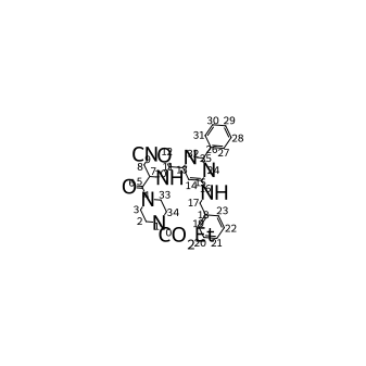 CCOC(=O)N1CCN(C(=O)C(CC#N)NC(=O)c2cc(NCc3ccccc3)nc(-c3ccccc3)n2)CC1